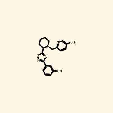 Cc1ccc(CN2CCCCC2c2nc(-c3cccc(C#N)c3)no2)nc1